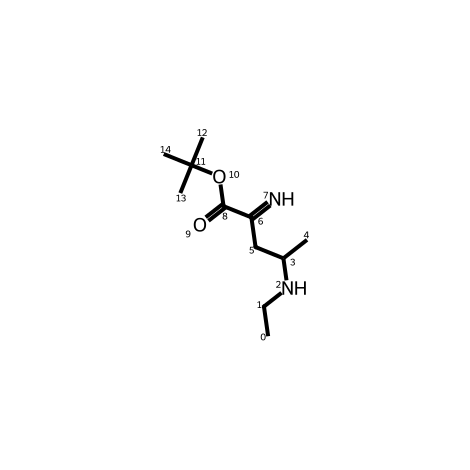 CCNC(C)CC(=N)C(=O)OC(C)(C)C